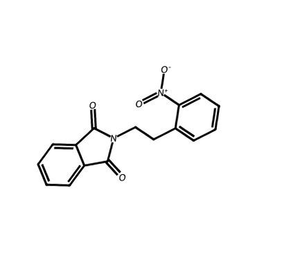 O=C1c2ccccc2C(=O)N1CCc1ccccc1[N+](=O)[O-]